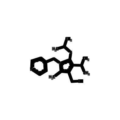 Cc1c(CO)c(C(C)C)c(SC(C)C)n1Cc1ccncc1